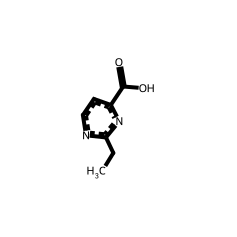 CCc1nccc(C(=O)O)n1